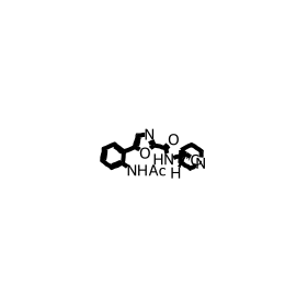 CC(=O)Nc1ccccc1-c1cnc(C(=O)N[C@H]2CN3CCC2CC3)o1